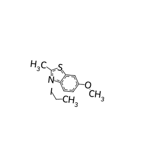 CCI.COc1ccc2nc(C)sc2c1